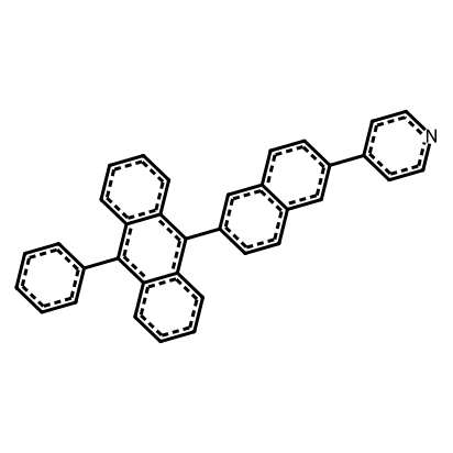 c1ccc(-c2c3ccccc3c(-c3ccc4cc(-c5ccncc5)ccc4c3)c3ccccc23)cc1